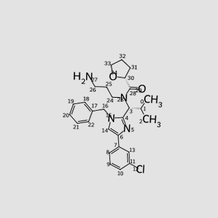 CC(C)[C@H](c1nc(-c2cccc(Cl)c2)cn1Cc1ccccc1)N(CCCN)C(=O)[C@H]1CCCO1